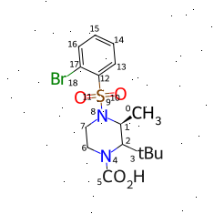 C[C@H]1C(C(C)(C)C)N(C(=O)O)CCN1S(=O)(=O)c1ccccc1Br